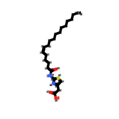 CCCCCCCCCCC/C=C\CCCCC(=O)Nc1nc(CC(=O)O)cs1